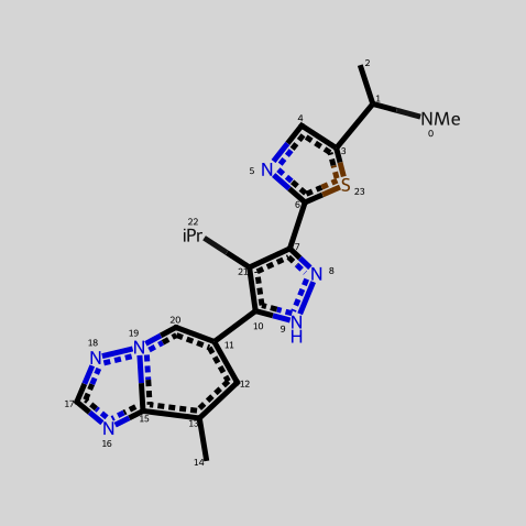 CNC(C)c1cnc(-c2n[nH]c(-c3cc(C)c4ncnn4c3)c2C(C)C)s1